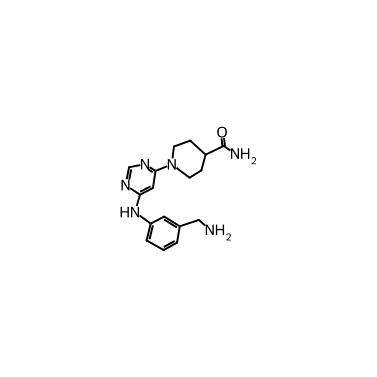 NCc1cccc(Nc2cc(N3CCC(C(N)=O)CC3)ncn2)c1